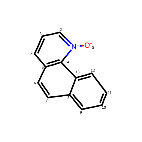 [O-][n+]1cccc2ccc3ccccc3c21